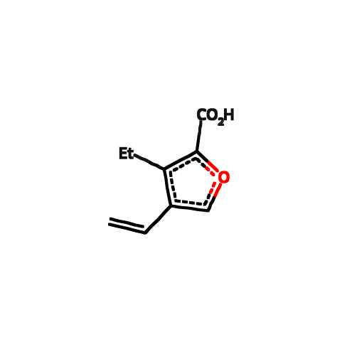 C=Cc1coc(C(=O)O)c1CC